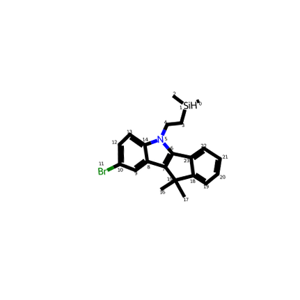 C[SiH](C)CCn1c2c(c3cc(Br)ccc31)C(C)(C)c1ccccc1-2